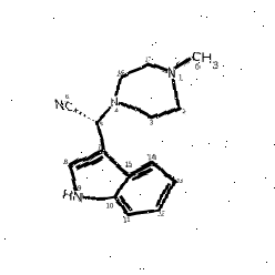 CN1CCN([C@@H](C#N)c2c[nH]c3ccccc23)CC1